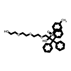 Cc1ccc(S(=O)(=O)C(O)(COCCOCCOCCO)C(c2ccccc2)(c2ccccc2)c2ccccc2)cc1